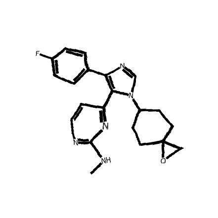 CNc1nccc(-c2c(-c3ccc(F)cc3)ncn2C2CCC3(CC2)CO3)n1